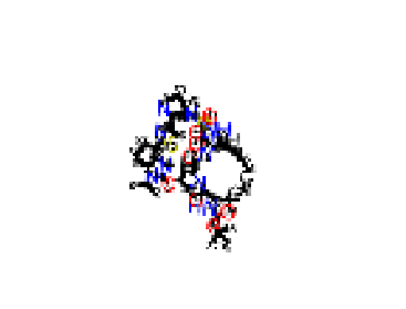 CC(C)n1c(O[C@@H]2C[C@H]3C(=O)N[C@]4(C(=O)NS(=O)(=O)N(C)C)C[C@H]4/C=C\CCCCC[C@H](NC(=O)OC(C)(C)C)C(=O)N3C2)nc2c(-c3nc(-c4ccccn4)cs3)cccc21